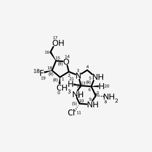 C[C@@H]1C(N2CN[C@@H]3[C@H](N)N[C@H](Cl)N[C@@H]32)O[C@H](CO)[C@@H]1[18F]